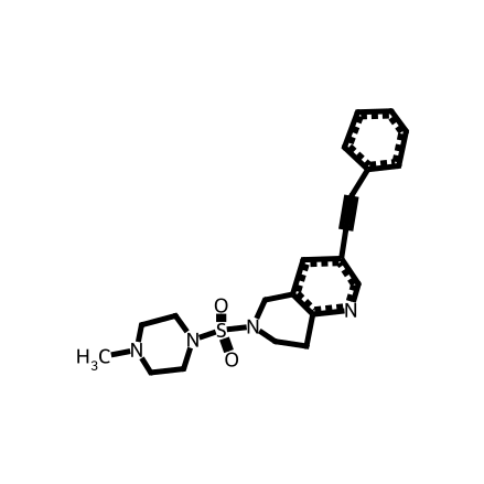 CN1CCN(S(=O)(=O)N2CCc3ncc(C#Cc4ccccc4)cc3C2)CC1